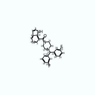 O=C(c1cncc2cc[nH]c12)N1CCN(C(c2cccc(F)c2)c2cccc(F)c2)CC1